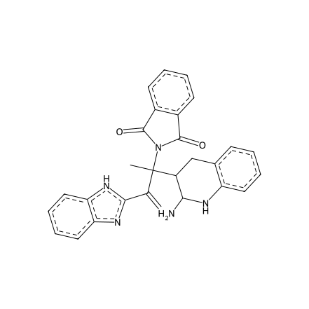 C=C(c1nc2ccccc2[nH]1)C(C)(C1Cc2ccccc2NC1N)N1C(=O)c2ccccc2C1=O